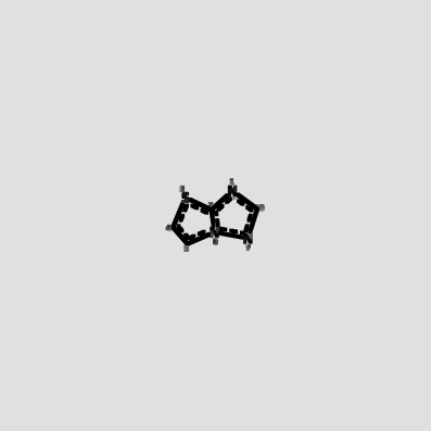 [c]1nc2sccn2n1